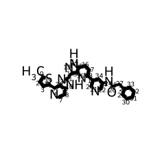 Cc1ccc(-c2nccc3[nH]c(-c4n[nH]c5ccc(-c6cncc(NC(=O)Cc7ccccc7)c6)nc45)nc23)s1